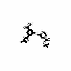 Cc1cnc(-c2cc(OCC3CN(C(=O)OC(C)(C)C)CCO3)cc(C(=O)O)c2)s1